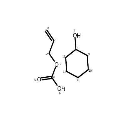 C=CCOC(=O)O.OC1CCCCC1